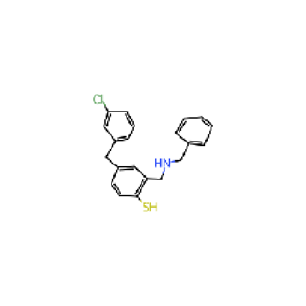 Sc1ccc(Cc2cccc(Cl)c2)cc1CNCc1ccccc1